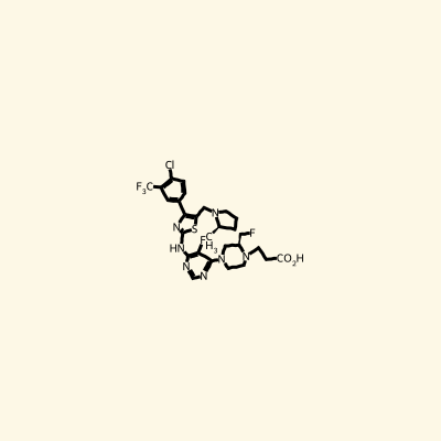 C[C@@H]1CCCN1Cc1sc(Nc2ncnc(N3CCN(CCC(=O)O)[C@H](CF)C3)c2F)nc1-c1ccc(Cl)c(C(F)(F)F)c1